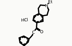 CCN1CCc2ccc(C(=O)CCc3ccccc3)cc2CC1.Cl